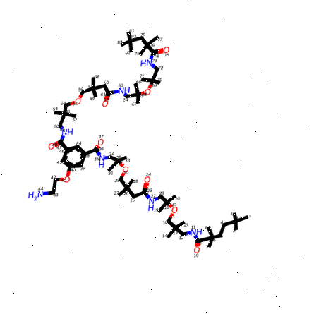 CC(C)(C)CCC(C)(C)C(=O)NCC(C)(C)COC(C)(C)CNC(=O)CC(C)(C)COC(C)(C)CNC(=O)c1cc(OCCN)cc(C(=O)NCC(C)(C)COCC(C)(C)CC(=O)NCC(C)(C)OC(C)(C)CNC(=O)C(C)(C)CC(C)(C)C)c1